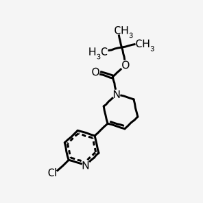 CC(C)(C)OC(=O)N1CCC=C(c2ccc(Cl)nc2)C1